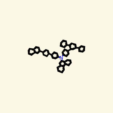 C1=C(c2ccc(N(c3ccc(-c4cc(-c5ccccc5)ccc4-c4ccccc4)cc3)c3cc4ccccc4c4ccccc34)cc2)CCC(c2ccc3ccccc3c2)=C1